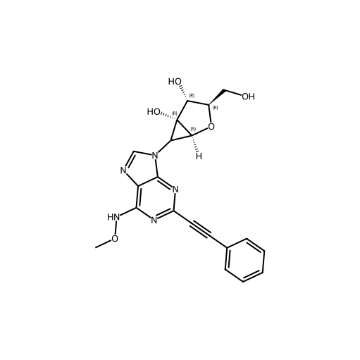 CONc1nc(C#Cc2ccccc2)nc2c1ncn2C1[C@@H]2O[C@H](CO)[C@@H](O)[C@]12O